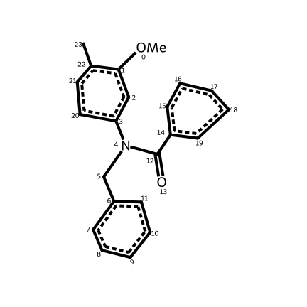 COc1cc(N(Cc2ccccc2)C(=O)c2ccccc2)ccc1C